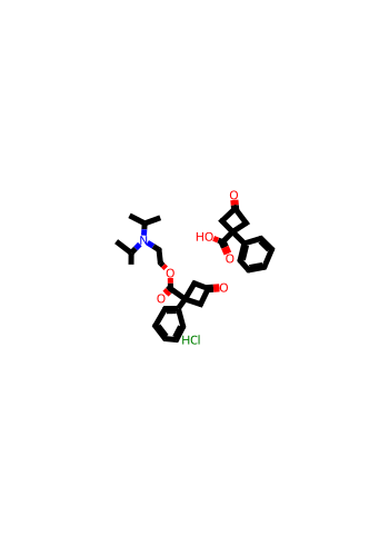 CC(C)N(CCOC(=O)C1(c2ccccc2)CC(=O)C1)C(C)C.Cl.O=C1CC(C(=O)O)(c2ccccc2)C1